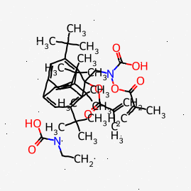 C=C(C)C(=O)ON(CC1(OC(=O)C(=C)C)c2c(C(C)(C)C)cc(cc2C(C)(C)C)-c2cc(C(C)(C)C)c1c(C(C)(C)C)c2)C(=O)O.[CH2]C[N]C(=O)O